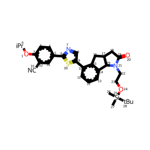 CC(C)Oc1ccc(-c2ncc(-c3cccc4c3CC3CC(=O)N(CCO[Si](C)(C)C(C)(C)C)C43)s2)cc1C#N